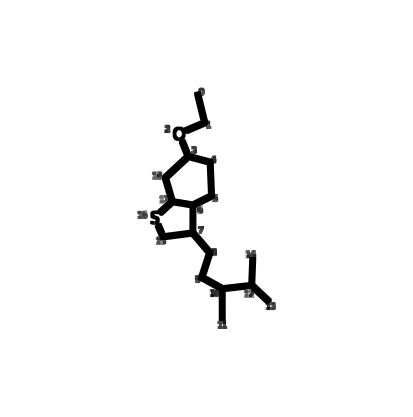 CCOC1CCC2C(CCC(C)C(C)C)CSC2C1